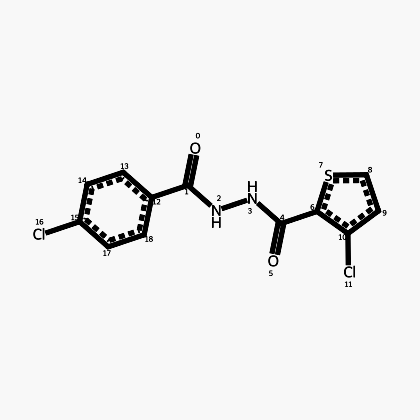 O=C(NNC(=O)c1sccc1Cl)c1ccc(Cl)cc1